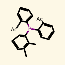 CC(=O)c1ccccc1P(c1ccccc1C(C)=O)c1cccc(C)c1C